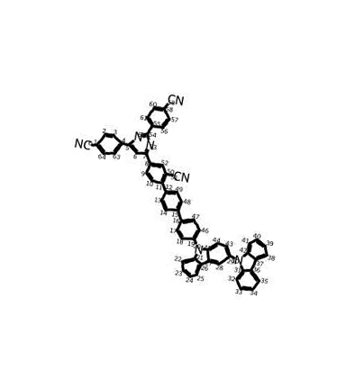 N#Cc1ccc(-c2cc(-c3ccc(-c4ccc(-c5ccc(-n6c7ccccc7c7cc(-n8c9ccccc9c9ccccc98)ccc76)cc5)cc4)c(C#N)c3)nc(-c3ccc(C#N)cc3)n2)cc1